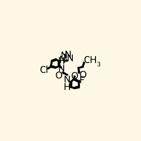 CCCCC(=O)Oc1c(F)cccc1NCC(=O)Nc1cc(Cl)ccc1-n1cnnn1